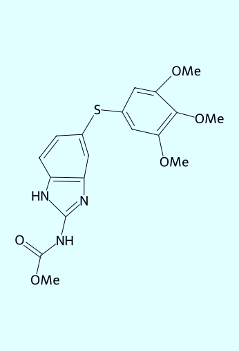 COC(=O)Nc1nc2cc(Sc3cc(OC)c(OC)c(OC)c3)ccc2[nH]1